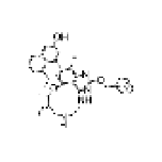 C/C=C1\CNCCNc2nc(OCC34COC(C3)C4)nc3c(F)c(-c4cc(O)cc5cccc(CC)c45)nc(c23)O[C@H]1C